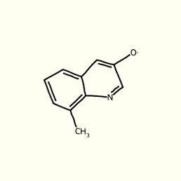 Cc1cccc2cc([O])cnc12